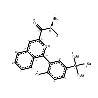 CCC[CH2][Sn]([CH2]CCC)([CH2]CCC)[c]1ccc(Cl)c(-c2nc(C(=O)N(C)[C@H](C)CC)cc3ccccc23)c1